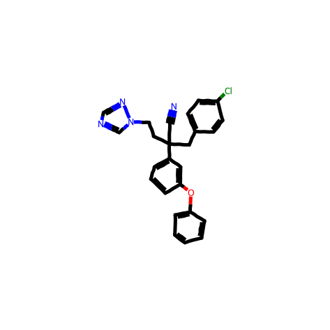 N#CC(CCn1cncn1)(Cc1ccc(Cl)cc1)c1cccc(Oc2ccccc2)c1